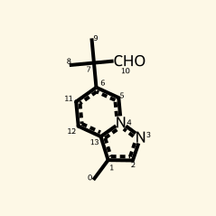 Cc1cnn2cc(C(C)(C)C=O)ccc12